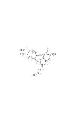 CC(C)C(=O)O.CC(C)C(=O)O.CCCCNCCc1ccc2cc(O)c(O)cc2c1.Cl